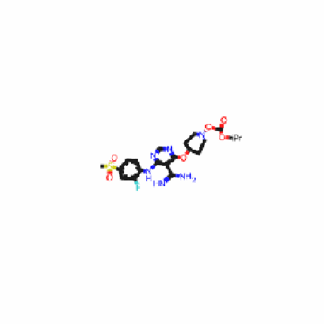 CC(C)OC(=O)ON1CCC(Oc2ncnc(Nc3ccc(S(C)(=O)=O)cc3F)c2C(=N)N)CC1